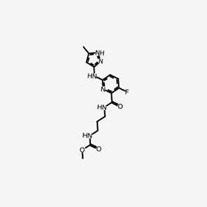 COC(=O)NCCCNC(=O)c1nc(Nc2cc(C)[nH]n2)ccc1F